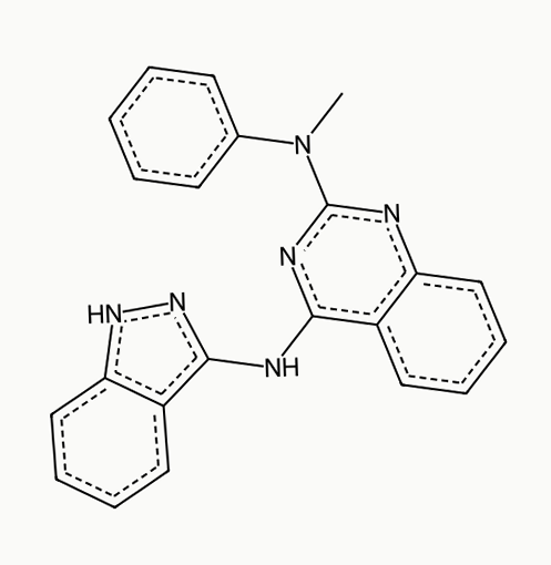 CN(c1ccccc1)c1nc(Nc2n[nH]c3ccccc23)c2ccccc2n1